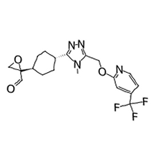 Cn1c(COc2cc(C(F)(F)F)ccn2)nnc1[C@H]1CC[C@H](C2(C=O)CO2)CC1